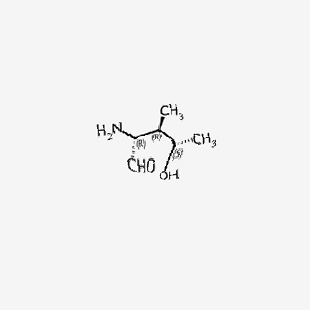 C[C@@H]([C@H](C)O)[C@@H](N)C=O